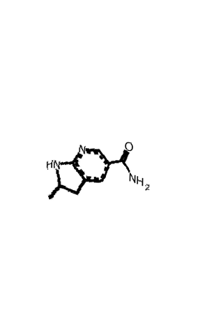 CC1Cc2cc(C(N)=O)cnc2N1